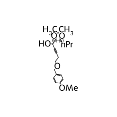 CCC[C@@H]1OC(C)(C)O[C@@H]1C(O)C#CCCOCc1ccc(OC)cc1